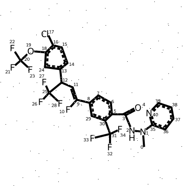 CN(NC(=O)c1ccc(C(F)=CC(c2ccc(Cl)c(OC(F)(F)F)c2)C(F)(F)F)cc1C(F)(F)F)c1ccccn1